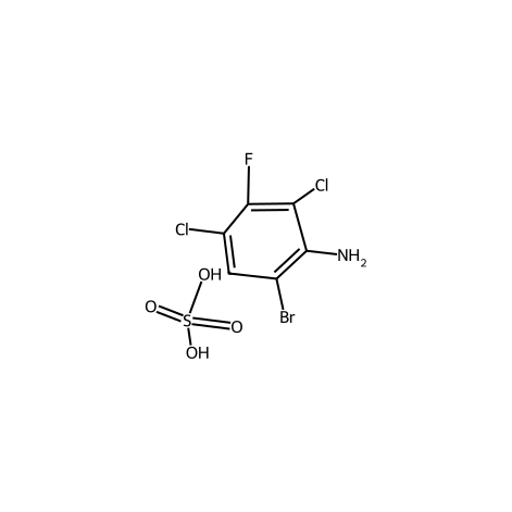 Nc1c(Br)cc(Cl)c(F)c1Cl.O=S(=O)(O)O